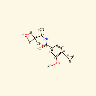 CC(C)Oc1cc(C(=O)NC(C#N)C2(C)COC2)ccc1C1CC1